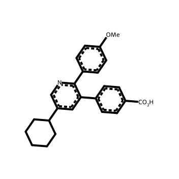 COc1ccc(-c2ncc(C3CCCCC3)cc2-c2ccc(C(=O)O)cc2)cc1